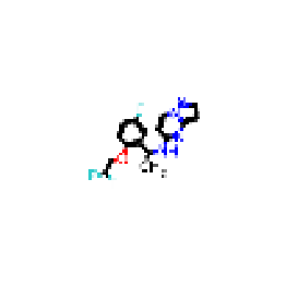 CC(Nc1ccn2nccc2n1)c1cc(F)ccc1OCC(F)F